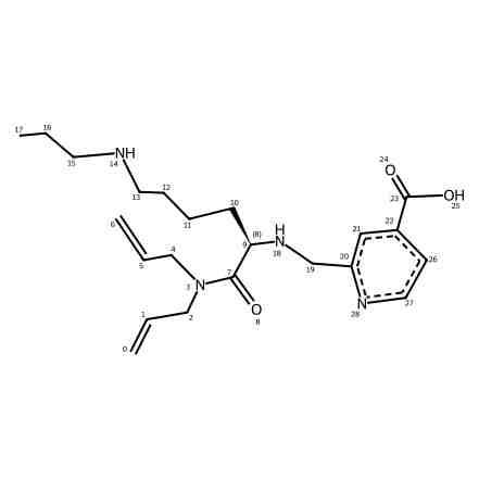 C=CCN(CC=C)C(=O)[C@@H](CCCCNCCC)NCc1cc(C(=O)O)ccn1